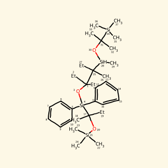 CCC(CC)(O[Si](c1ccccc1)(c1ccccc1)C(C)(CC)O[Si](C)(C)C)C(C)(CC)[SiH](C)OC(C)(C)[Si](C)(C)C